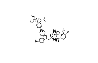 C=CC(=O)N1C[C@@H](C(C)C)c2cc(N3CCC4(CC3)C[C@@H](CC(=O)N[C@H](Cc3ccc(F)c(F)c3)c3nnco3)c3ccc(F)cc34)ccc21